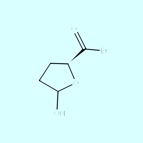 CCC(=O)[C@@H]1CCC(O)O1